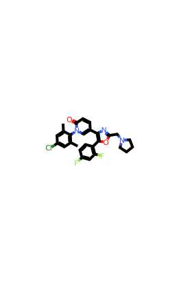 Cc1cc(Cl)cc(C)c1-n1cc(-c2nc(CN3CCCC3)oc2-c2ccc(F)cc2F)ccc1=O